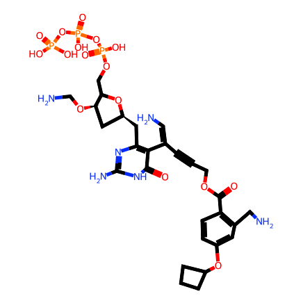 N/C=C(/C#CCOC(=O)c1ccc(OC2CCC2)cc1CN)c1c(C[C@H]2C[C@@H](OCN)C(COP(=O)(O)OP(=O)(O)OP(=O)(O)O)O2)nc(N)[nH]c1=O